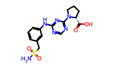 NS(=O)(=O)Cc1cccc(Nc2ncnc(N3CCC[C@@H]3C(=O)O)n2)c1